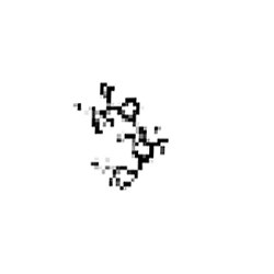 C[C@@H]1CN(Cc2cc(C(F)(F)F)c3cn(-c4cccc(C(c5nncn5C)C5CCC5)c4)c(=O)n3c2)CCO1